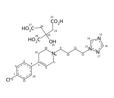 Clc1ccc(C2=CCN(CCCCn3cncn3)CC2)cc1.O=C(O)CC(O)(CC(=O)O)C(=O)O